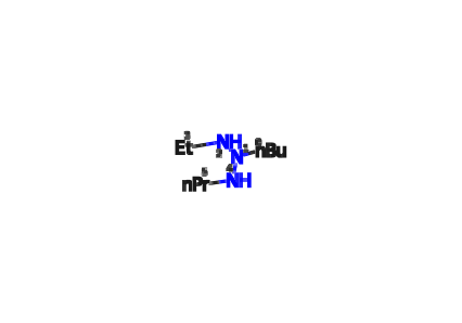 CCCCN(NCC)NCCC